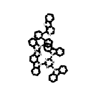 c1ccc(-c2nccc3c2sc2ccccc23)c(-c2ccccc2-n2c3ccccc3n3c4ccc5c6ccccc6n(-c6nc(-n7c8ccccc8c8ccccc87)nc(-n7c8ccccc8c8ccccc87)n6)c5c4nc23)c1